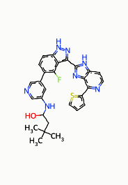 CC(C)(C)CC(O)Nc1cncc(-c2ccc3[nH]nc(-c4nc5c(-c6cccs6)nccc5[nH]4)c3c2F)c1